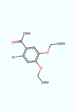 COCOc1cc(Br)c(C(=O)OC)cc1OCOC